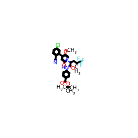 COc1cn(C(CC(C)C(F)(F)F)C(=O)Nc2ccc(C(=O)OC(C)(C)C)cc2)c(=O)cc1-c1cc(Cl)ccc1C#N